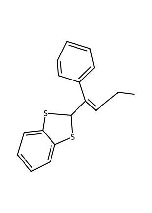 CCC=C(c1ccccc1)C1Sc2ccccc2S1